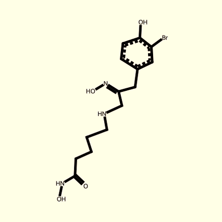 O=C(CCCCNCC(Cc1ccc(O)c(Br)c1)=NO)NO